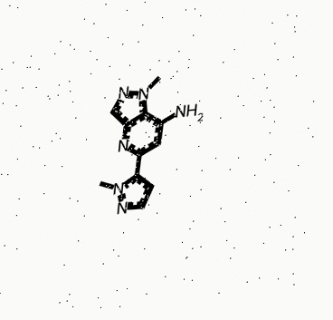 Cn1nccc1-c1cc(N)c2c(cnn2C)n1